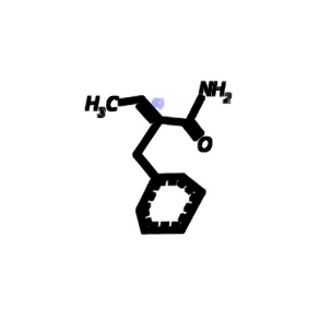 C/C=C(\Cc1ccccc1)C(N)=O